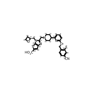 N#Cc1ccc(COc2cccc(C3CCN(Cc4nc5cc(C(=O)O)sc5n4C[C@@H]4CCO4)CC3)n2)c(F)c1